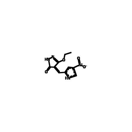 CCOC1=NNC(=O)/C1=C/c1cc([N+](=O)[O-])c[nH]1